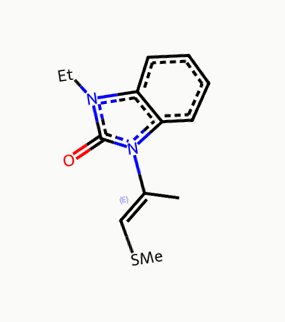 CCn1c(=O)n(/C(C)=C/SC)c2ccccc21